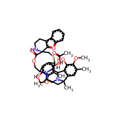 COc1c(C)cc2c(c1O)C1[C@@H]3[C@@H]4SC[C@]5(NCCc6c5oc5ccccc65)C(=O)OC[C@@H](c5c6c(c(C)c(OC(C)=O)c54)OCO6)N3C3(C)CN1C2(C)C3